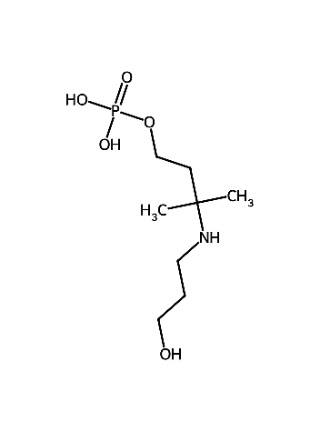 CC(C)(CCOP(=O)(O)O)NCCCO